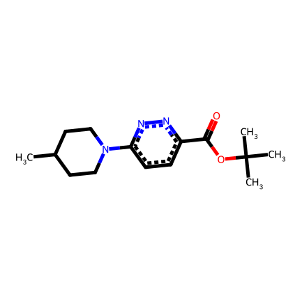 CC1CCN(c2ccc(C(=O)OC(C)(C)C)nn2)CC1